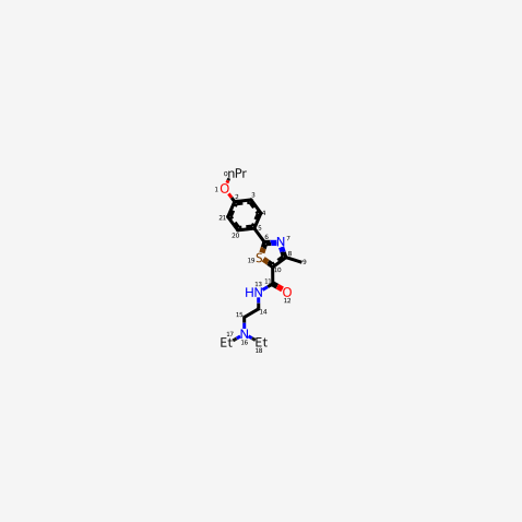 CCCOc1ccc(-c2nc(C)c(C(=O)NCCN(CC)CC)s2)cc1